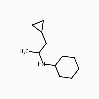 CC(CC1CC1)NC1CCCCC1